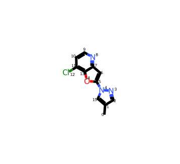 Cc1cnn(-c2cc3nccc(Cl)c3o2)c1